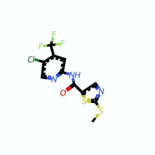 CSc1ncc(C(=O)Nc2cc(C(F)(F)F)c(Cl)cn2)s1